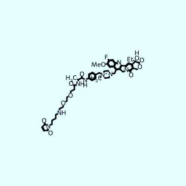 CC[C@@]1(O)C(=O)OCc2c1cc1n(c2=O)Cc2c-1nc1cc(F)c(OC)cc1c2CN1CC[N+](C)(Cc2ccc(NC(=O)[C@H](C)NC(=O)CCOCCOCCNCCCCN3C(=O)C=CC3=O)cc2)CC1